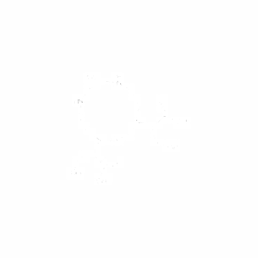 O=C(O)C(CO)N1CCNCCNCCN(C(CO)C(=O)O)CC1.[Gd]